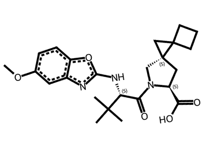 COc1ccc2oc(N[C@H](C(=O)N3C[C@]4(C[C@H]3C(=O)O)CC43CCC3)C(C)(C)C)nc2c1